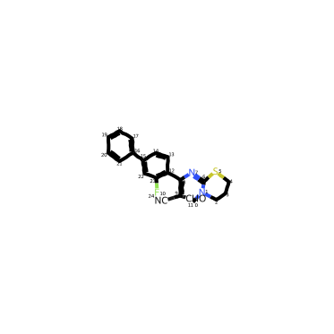 CN1CCCS/C1=N/C(=C(/C#N)C=O)c1ccc(-c2ccccc2)cc1F